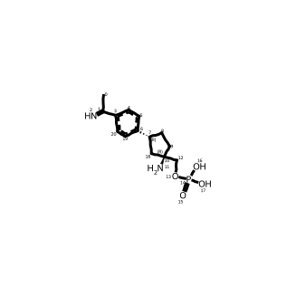 CC(=N)c1ccc([C@@H]2CC[C@](N)(COP(=O)(O)O)C2)cc1